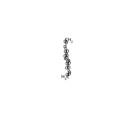 C=CC(=O)OCCCCOC1CCC(C(=O)Oc2ccc(OC(=O)Oc3cccc4c3C3(CC4)CCc4cccc(OC(=O)Oc5ccc(OC(=O)C6CCC(OCOC(=O)C=C)CC6)cc5)c43)cc2)CC1